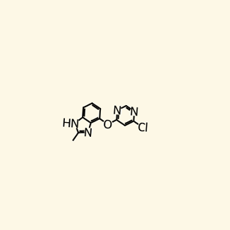 Cc1nc2c(Oc3cc(Cl)ncn3)cccc2[nH]1